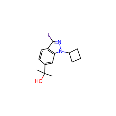 CC(C)(O)c1ccc2c(I)nn(C3CCC3)c2c1